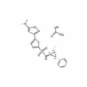 C[C@H]1[C@H](NS(=O)(=O)c2ccc(-c3cc(N(C)C)on3)s2)[C@H]1c1ccccc1.O=C(O)O